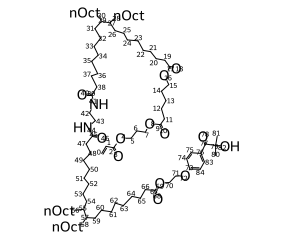 C=CC(=O)OCCCOC(=O)CCCCCOC(=O)CCCCCCCCC(CCCCCCCC)C(CCCCCCCC)CCCCCCCCC(=O)NCCNC(=O)CCCCCCCCC(CCCCCCCC)C(CCCCCCCC)CCCCCCCCC(=O)OCCOc1ccc(C(=O)C(C)(C)O)cc1